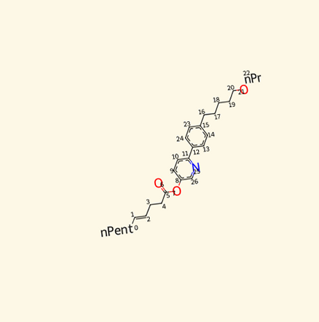 CCCCC/C=C/CCC(=O)Oc1ccc(-c2ccc(CCCCCOCCC)cc2)nc1